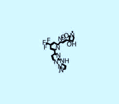 CN1CC[C@@](O)(c2cc(-c3cc(C(F)(F)F)cc(-c4ccnc(Nc5ccn(C)n5)n4)n3)no2)C1=O